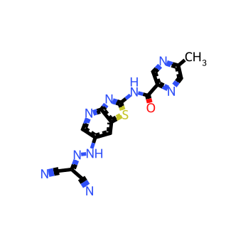 Cc1cnc(C(=O)Nc2nc3ncc(NN=C(C#N)C#N)cc3s2)cn1